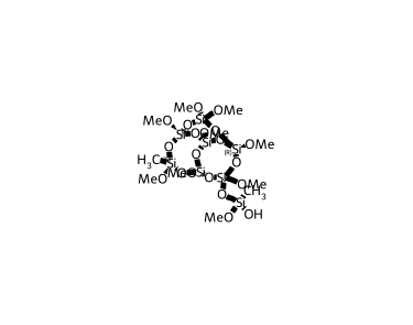 CO[Si](C)(O)O[Si]1(OC)O[Si]2(OC)O[Si]3(OC)O[Si@@](OC)(O1)O[Si](OC)(OC)O[Si@](OC)(O3)O[Si@](C)(OC)O2